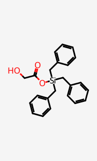 O=C(CO)O[Si](Cc1ccccc1)(Cc1ccccc1)Cc1ccccc1